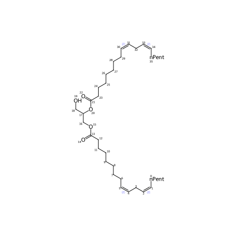 CCCCC/C=C\C/C=C\CCCCCCCC(=O)OCC(CO)OC(=O)CCCCCCC/C=C\C/C=C\CCCCC